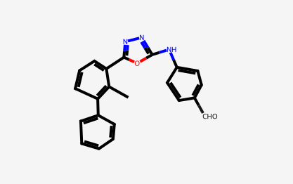 Cc1c(-c2ccccc2)cccc1-c1nnc(Nc2ccc(C=O)cc2)o1